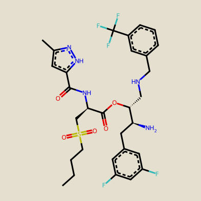 CCCCS(=O)(=O)C[C@@H](NC(=O)c1cc(C)n[nH]1)C(=O)O[C@H](CNCc1cccc(C(F)(F)F)c1)[C@@H](N)Cc1cc(F)cc(F)c1